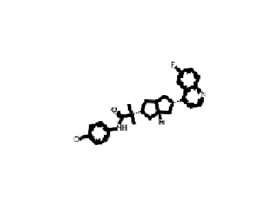 CC(C)(C(=O)Nc1ccc(Cl)cc1)[C@@H]1CC2C[C@H](c3ccnc4ccc(F)cc34)C[C@@H]2C1